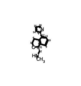 CNC[C@H]1OCCc2c1cccc2-n1cccn1